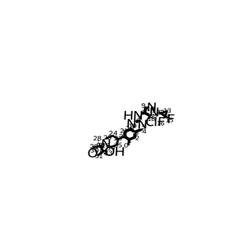 Cc1cc2cnc(Nc3cnn([C@H]4CC4(F)F)c3Cl)nc2cc1C1CCN([C@]2(C)COC[C@@H]2O)CC1